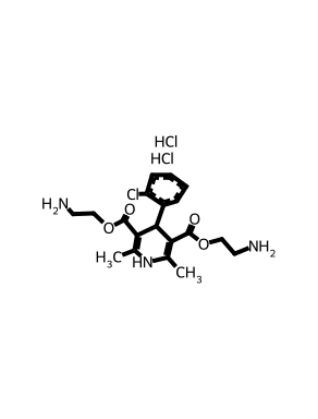 CC1=C(C(=O)OCCN)C(c2ccccc2Cl)C(C(=O)OCCN)=C(C)N1.Cl.Cl